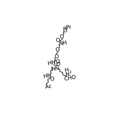 CCCOCCOCC(=O)NCCOCCOCC(=O)N[C@@H](CCCCNC(=O)CCCC(C)=O)C(=O)NCCCC[C@H](N)C=O